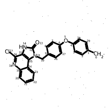 [CH2]c1ccc(Oc2ccc(Cn3c(=O)[nH]c4c(Cl)nc5ccccc5c43)cc2)cc1